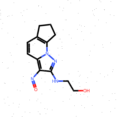 O=Nc1c(NCCO)nn2c3c(ccc12)CCC3